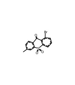 Cc1ccc2c(c1)S(=O)(=O)c1cccc(Br)c1C2=O